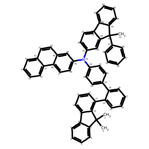 CC1(C)c2ccccc2-c2cccc(-c3ccccc3-c3ccc(N(c4ccc5c(c4)C(C)(c4ccccc4)c4ccccc4-5)c4ccc5c(ccc6ccccc65)c4)cc3)c21